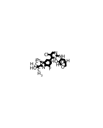 CC(C)n1c(C(C)(C)O)nc2c(F)cc(-c3nc(N[C@@H]4C[C@H]5CO[C@H](O5)[C@H]4O)ncc3Cl)cc21